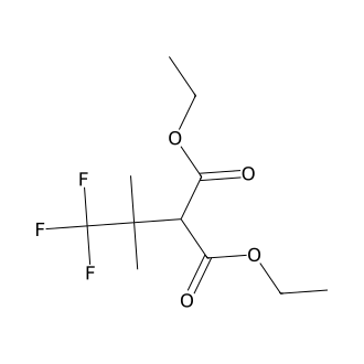 CCOC(=O)C(C(=O)OCC)C(C)(C)C(F)(F)F